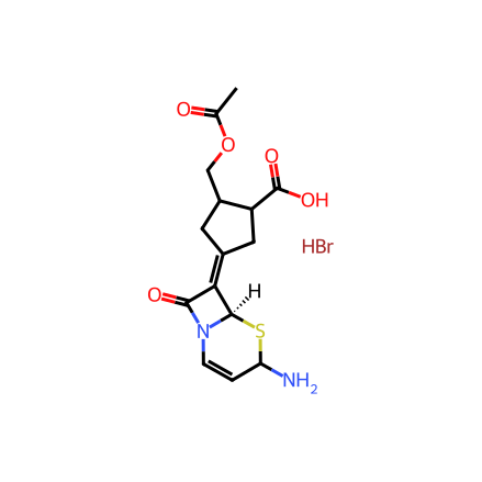 Br.CC(=O)OCC1CC(=C2C(=O)N3C=CC(N)S[C@H]23)CC1C(=O)O